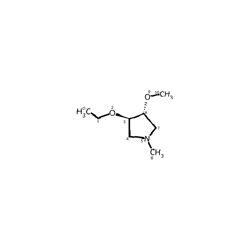 CCO[C@@H]1CN(C)C[C@H]1OC